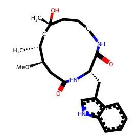 CO[C@@H]1CC(=O)N[C@@H](Cc2c[nH]c3ccccc23)C(=O)NCCC[C@@](C)(O)C[C@H]1C